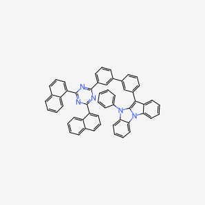 c1ccc(-n2c3ccccc3n3c4ccccc4c(-c4cccc(-c5cccc(-c6nc(-c7cccc8ccccc78)nc(-c7cccc8ccccc78)n6)c5)c4)c23)cc1